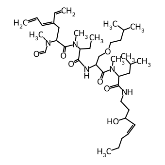 C=C/C=C(\C=C)CC(C(=O)N(C)C(CC)C(=O)NC(COCCC(C)C)C(=O)N(C)C(CC(C)C)C(=O)NCCC(O)/C=C\CCC)N(C)C=O